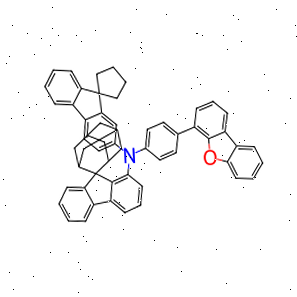 c1ccc2c(c1)-c1ccc(N(c3ccc(-c4cccc5c4oc4ccccc45)cc3)c3cccc4c3C3(c5ccccc5-4)C4CC5CC(C4)CC3C5)cc1C21CCCC1